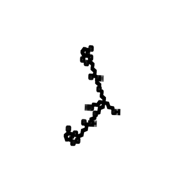 O=C(CCCC(=O)ON1C(=O)CCC1=O)NCCOCCCC(CCCO)(CCCO)CCCOCCNC(=O)CCCC(=O)ON1C(=O)CCC1=O